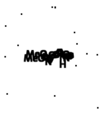 COc1cc2nccc(Oc3ccc4c(Nc5nc6ccccc6o5)cccc4c3)c2cc1OC